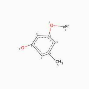 CCCOc1cc(C)cc([O])c1